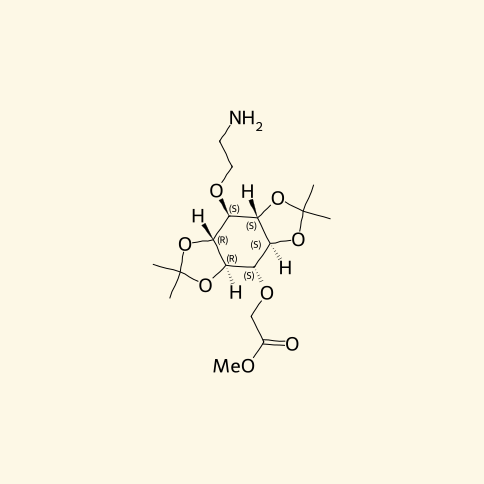 COC(=O)CO[C@@H]1[C@H]2OC(C)(C)O[C@@H]2[C@@H](OCCN)[C@@H]2OC(C)(C)O[C@@H]12